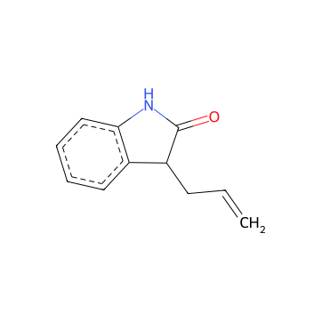 C=CCC1C(=O)Nc2ccccc21